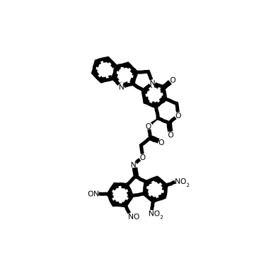 O=Nc1cc(N=O)c2c(c1)/C(=N/OCC(=O)O[C@@H]1C(=O)OCc3c1cc1n(c3=O)Cc3cc4ccccc4nc3-1)c1cc([N+](=O)[O-])cc([N+](=O)[O-])c1-2